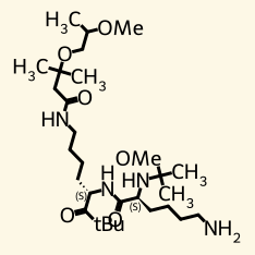 COC(C)COC(C)(C)CC(=O)NCCCC[C@H](NC(=O)[C@H](CCCCN)NC(C)(C)OC)C(=O)C(C)(C)C